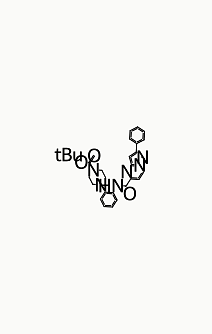 CC(C)(C)OC(=O)N1CCN(c2ccccc2NC(=O)c2ccn3nc(-c4ccccc4)cc3n2)CC1